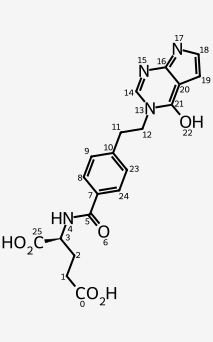 O=C(O)CC[C@H](NC(=O)c1ccc(CCn2cnc3nccc-3c2O)cc1)C(=O)O